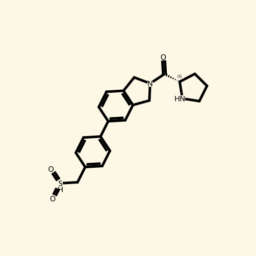 O=C([C@@H]1CCCN1)N1Cc2ccc(-c3ccc(C[SH](=O)=O)cc3)cc2C1